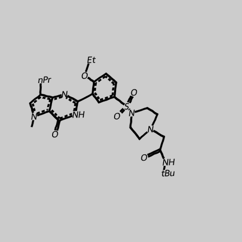 CCCc1cn(C)c2c(=O)[nH]c(-c3cc(S(=O)(=O)N4CCN(CC(=O)NC(C)(C)C)CC4)ccc3OCC)nc12